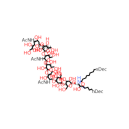 CCCCCCCCCCCCC/C=C/[C@@H](O)[C@H](CO[C@@H]1OC(CO)[C@@H](O[C@@H]2OC(CO)[C@H](O)[C@H](O[C@@H]3OC(CO)[C@@H](O[C@@H]4OC(CO)[C@H](O)[C@H](O[C@@H]5OC(CO)[C@@H](O)[C@H](O[C@@H]6OC(CO)[C@H](O)[C@H](O[C@]7(C(=O)O)CC(O)[C@@H](NC(C)=O)C([C@H](O)[C@H](O)CO)O7)C6O)C5NC(C)=O)C4O)[C@H](O)C3NC(C)=O)C2O)[C@H](O)C1O)NC(=O)CCCCCCCCCCCCCCCCC